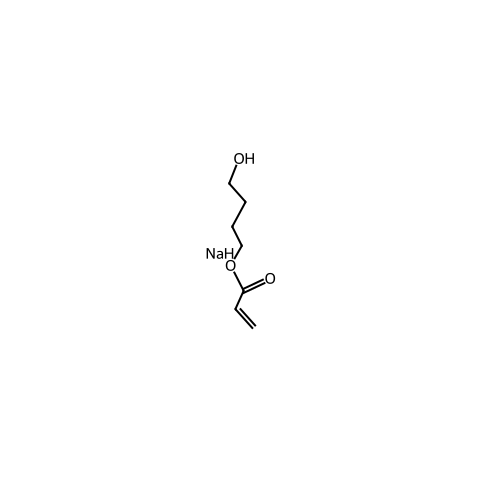 C=CC(=O)OCCCCO.[NaH]